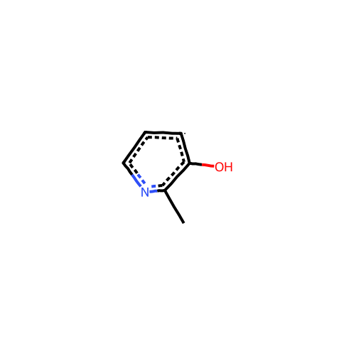 Cc1ncc[c]c1O